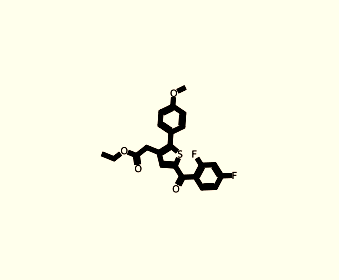 CCOC(=O)Cc1cc(C(=O)c2ccc(F)cc2F)sc1-c1ccc(OC)cc1